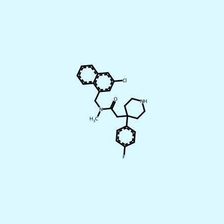 CN(Cc1cc(Cl)cc2ccccc12)C(=O)CC1(c2ccc(F)cc2)CCNCC1